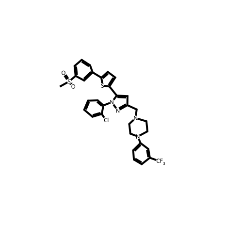 CS(=O)(=O)c1cccc(-c2ccc(-c3cc(CN4CCN(c5cccc(C(F)(F)F)c5)CC4)nn3-c3ccccc3Cl)s2)c1